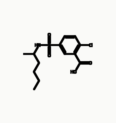 CCCCC(C)NS(=O)(=O)c1ccc(Cl)c(C(=O)O)c1